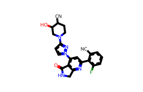 N#Cc1cccc(F)c1-c1cc(-n2ccc(N3CCC(C#N)C(O)C3)n2)c2c(n1)CNC2=O